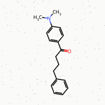 CN(C)c1ccc(C(=O)CCCc2ccccc2)cc1